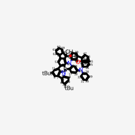 CC(C)(C)c1ccc2c(c1)c1cc(C(C)(C)C)cc3c1n2B1c2ccc(N(c4ccccc4)c4ccccc4)cc2N(c2cccc4c2oc2ccccc24)c2c1c-3cc1c2C(C)(C)c2ccccc2-1